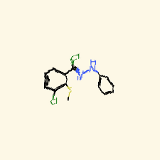 CSc1c(Cl)cccc1C(Cl)=NNc1ccccc1